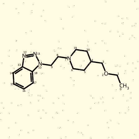 CCOCC1CCN(CCn2nnc3ccccc32)CC1